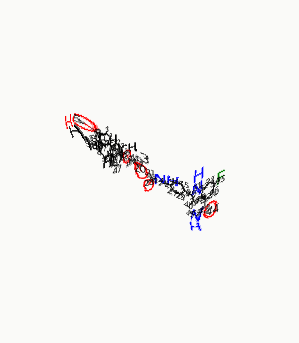 C[C@]12CCC(O)C[C@@H]1CC[C@@H]1[C@@H]2CC[C@]2(C)[C@@H](OCCOCC(=O)NCc3ccc(-c4[nH]c5cc(F)cc6c5c4CCNC6=O)cc3)CC[C@@H]12